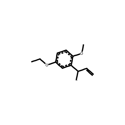 [CH2]C(C=C)c1cc(OCC)ccc1OC